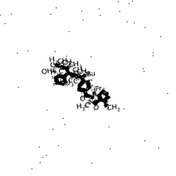 C=Cc1ccccc1C(=O)N(C)[C@@H](CC(C)C)C(=O)c1ccc(C(C(C)CC)C(C)(C)C(C)(C)C(c2ccccc2)C(C)C(C)(C)C(C)(C)C=O)cc1